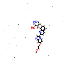 COCCOc1ccn2c(-c3ccc4cccc(OC5CCNCC5O)c4n3)cnc2c1